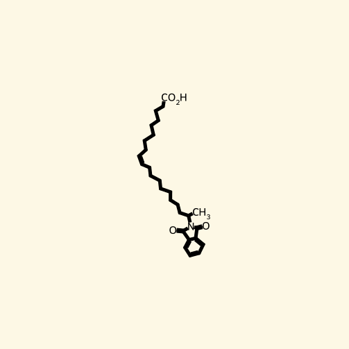 CC(CCCCCCCC/C=C\CCCCCCCC(=O)O)N1C(=O)c2ccccc2C1=O